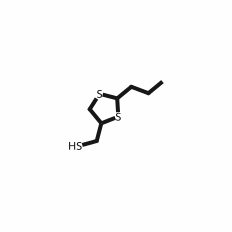 CCCC1SCC(CS)S1